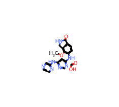 COc1c(Nc2cc(Nc3cnccn3)ncn2)ccc2c1CNC2=O.O=CO